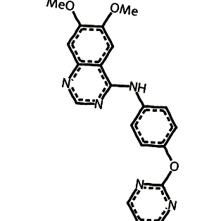 COc1cc2ncnc(Nc3ccc(Oc4ncccn4)cc3)c2cc1OC